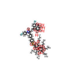 CCCCOCC1O[C@@H](O[C@@H]2C(COCCCC)O[C@@H](CS(=O)(=O)c3ccc(-c4ccc([C@@H]5[C@@H](CC[C@H](O[C@@H]6CC(C(=O)O)[C@@H](O)C(O)[C@@H]6O)c6ccc(F)cc6)C(=O)N5c5ccc(F)cc5)cc4)cc3)[C@@H](OCCCC)C2OCCCC)[C@@H](OCCCC)C(OCCCC)[C@@H]1OCCCC